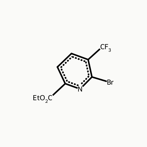 CCOC(=O)c1ccc(C(F)(F)F)c(Br)n1